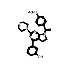 C=C(c1ccc(NC(C)=O)cc1)N1CCc2c(-c3cccc(O)c3)nc(N3CCOCC3)nc21